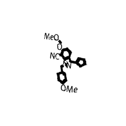 COCOc1ccc2c(C3=CCCC3)nn(Cc3ccc(OC)cc3)c2c1C#N